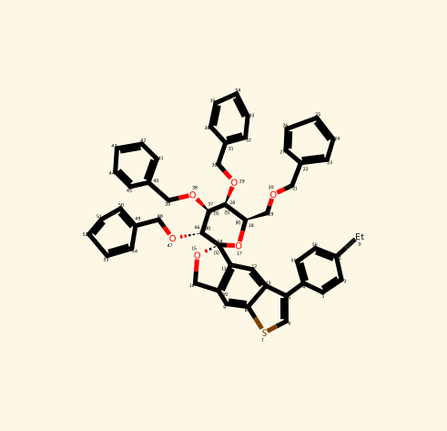 CCc1ccc(-c2csc3cc4c(cc23)[C@]2(OC4)O[C@H](COCc3ccccc3)[C@H](OCc3ccccc3)[C@H](OCc3ccccc3)[C@H]2OCc2ccccc2)cc1